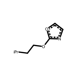 CC(C)CCOc1ncco1